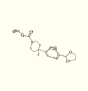 CC(C)(C)OC(=O)N1CCC(F)(c2ccc(C3OCCO3)nc2)CC1